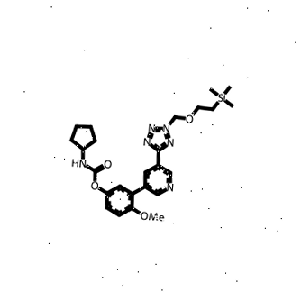 COc1ccc(OC(=O)NC2CCCC2)cc1-c1cncc(-c2nnn(COCC[Si](C)(C)C)n2)c1